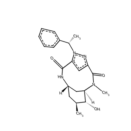 C[C@H]1C[C@H]2C[C@H]([C@@H]1O)N(C)C(=O)c1cc(n([C@@H](C)c3ccccc3)n1)C(=O)N2